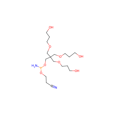 N#CCCOP(N)OCC(COCCCO)(COCCCO)COCCCO